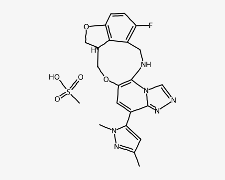 CS(=O)(=O)O.Cc1cc(-c2cc3c(n4cnnc24)NCc2c(F)ccc4c2[C@@H](CO4)CO3)n(C)n1